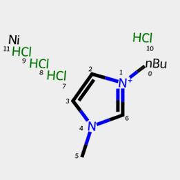 CCCC[n+]1ccn(C)c1.Cl.Cl.Cl.Cl.[Ni]